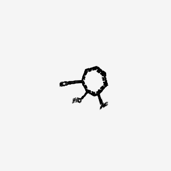 CC(=O)c1ccccc(=O)c1O